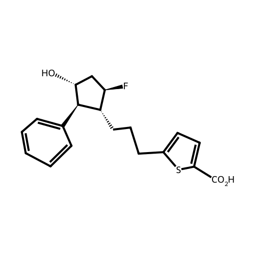 O=C(O)c1ccc(CCC[C@@H]2[C@@H](c3ccccc3)[C@H](O)C[C@H]2F)s1